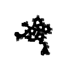 CCCCc1cc(C2(c3cc(CCCC)c(OCC4CO4)c(CCCC)c3)c3ccccc3-c3ccccc32)ccc1OCC1CO1